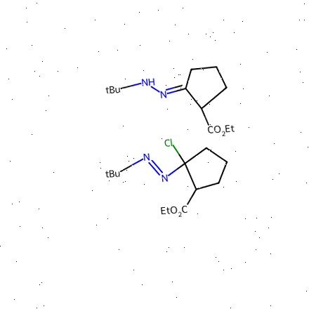 CCOC(=O)C1CCCC1(Cl)N=NC(C)(C)C.CCOC(=O)C1CCCC1=NNC(C)(C)C